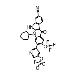 N#Cc1ccc2c(c1)[nH]c1c2c(=O)c2cc(OC(F)(F)F)c(-c3cncc(OS(=O)(=O)F)c3)cc2n1C1CCCCC1